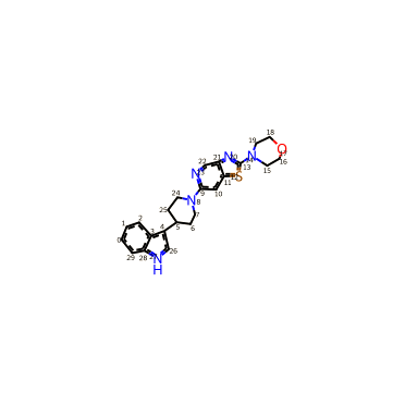 c1ccc2c(C3CCN(c4cc5sc(N6CCOCC6)nc5cn4)CC3)c[nH]c2c1